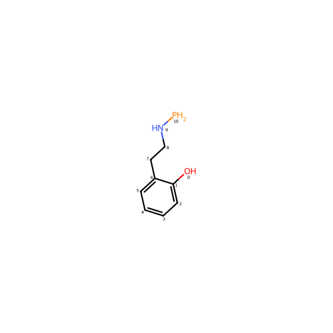 Oc1ccccc1CCNP